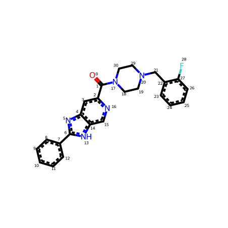 O=C(c1cc2nc(-c3ccccc3)[nH]c2cn1)N1CCN(Cc2ccccc2F)CC1